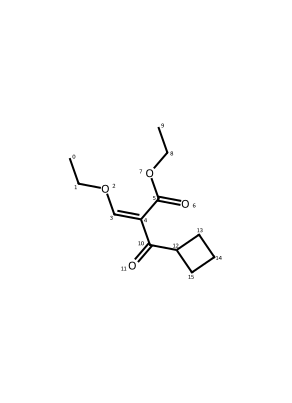 CCO/C=C(\C(=O)OCC)C(=O)C1CCC1